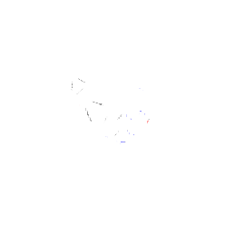 CC(=O)N(C(C)CN(C)C)n1cc(-c2ccc(Oc3ccccc3)cc2)c2c(N)ncnc21